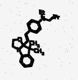 CCN(CC(C)C)c1ccc(C=CC23OCCN2c2ccccc2C3(C)C)cc1